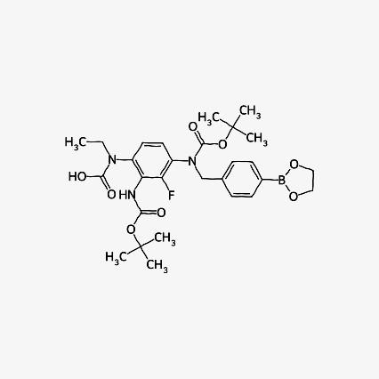 CCN(C(=O)O)c1ccc(N(Cc2ccc(B3OCCO3)cc2)C(=O)OC(C)(C)C)c(F)c1NC(=O)OC(C)(C)C